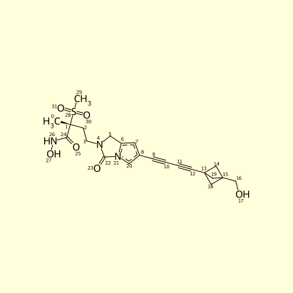 C[C@@](CCN1Cc2cc(C#CC#CC34CC(CO)(C3)C4)cn2C1=O)(C(=O)NO)S(C)(=O)=O